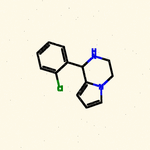 Clc1ccccc1C1NCCn2cccc21